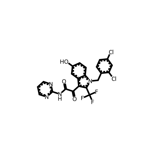 O=C(Nc1ncccn1)C(=O)c1c(C(F)(F)F)n(Cc2ccc(Cl)cc2Cl)c2ccc(O)cc12